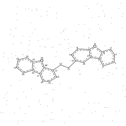 c1ccc2c(c1)oc1ccc(CCc3cccc4c3oc3ccccc34)cc12